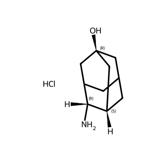 Cl.N[C@@H]1C2CC3C[C@H]1C[C@@](O)(C3)C2